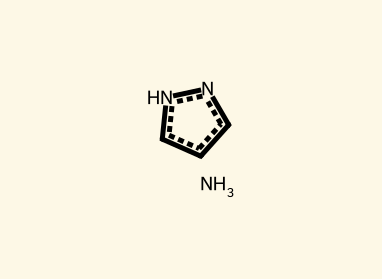 N.c1cn[nH]c1